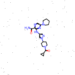 NC(=O)c1ncc(N2CCCCC2)nc1Nc1cnn(C2CCN(C(=O)C3CC3)CC2)c1